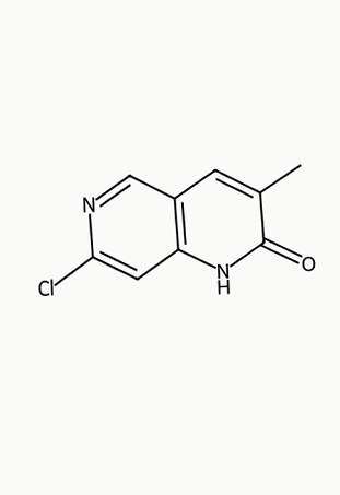 Cc1cc2cnc(Cl)cc2[nH]c1=O